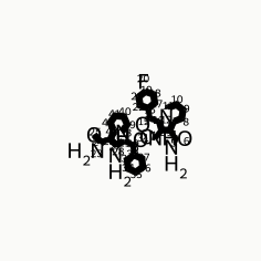 CNc1c(C(N)=O)c2ccccn2c1C(=O)c1ccc(F)cc1.NC(=O)c1c(N)c(C(=O)c2ccccc2)n2ccccc12